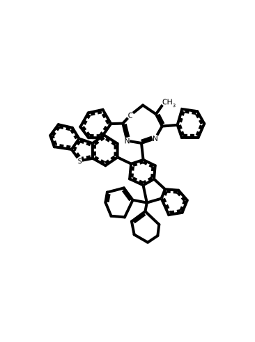 C/C1=C(c2ccccc2)/N=C(c2cc3c(cc2-c2ccc4c(c2)sc2ccccc24)C(C2=CC=CCC2)(C2=CCCCC2)c2ccccc2-3)\N=C(\c2ccccc2)CC1